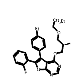 CCOC(=O)COC[C@@H](C)COc1ncnc2oc(-c3ccccc3F)c(-c3ccc(CC)cc3)c12